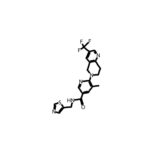 Cc1cc(C(=O)NCc2cncs2)cnc1N1CCc2ncc(C(F)(F)F)cc2C1